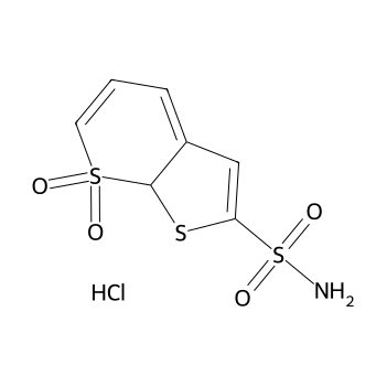 Cl.NS(=O)(=O)C1=CC2=CC=CS(=O)(=O)C2S1